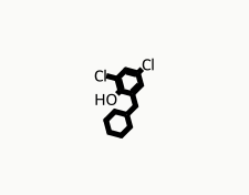 Oc1c(Cl)cc(Cl)cc1CC1CCCCC1